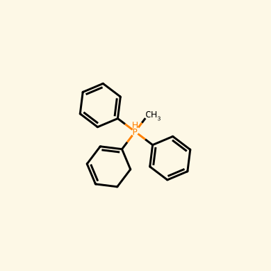 C[PH](C1=CC=CCC1)(c1ccccc1)c1ccccc1